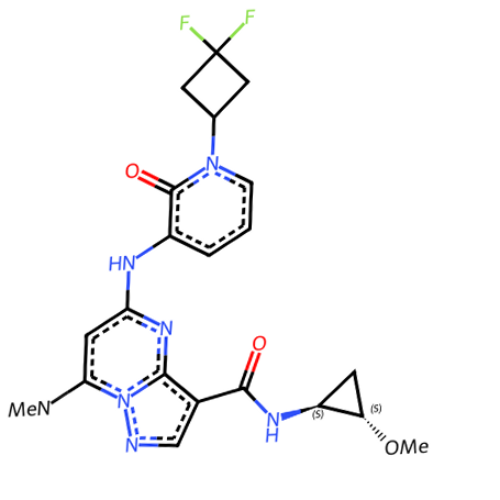 CNc1cc(Nc2cccn(C3CC(F)(F)C3)c2=O)nc2c(C(=O)N[C@H]3C[C@@H]3OC)cnn12